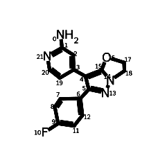 Nc1cc(-c2c(-c3ccc(F)cc3)nn3c2OCC3)ccn1